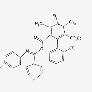 CCOC(=O)C1=C(c2ccccc2C(F)(F)F)C(C(=O)OC(=Nc2ccc(F)cc2)C2C=CCC=C2)=C(C)N(CC)C1C